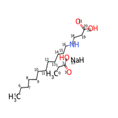 CCC(=O)O.CCCCCCCCCCCCNCCC(=O)O.[NaH]